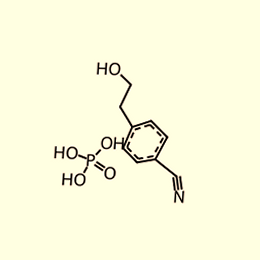 N#Cc1ccc(CCO)cc1.O=P(O)(O)O